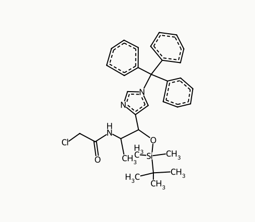 CC(NC(=O)CCl)C(O[Si](C)(C)C(C)(C)C)c1cn(C(c2ccccc2)(c2ccccc2)c2ccccc2)cn1